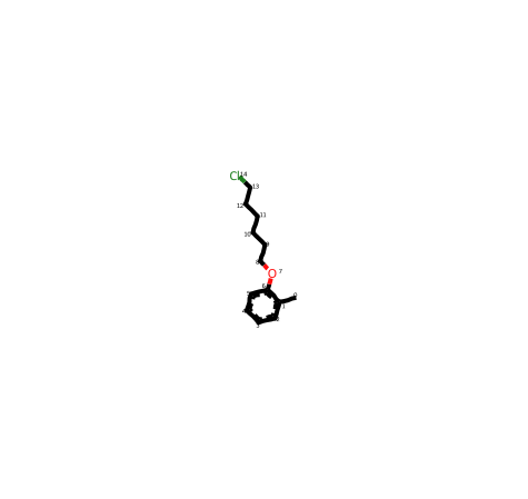 Cc1ccccc1OCCCCCCCl